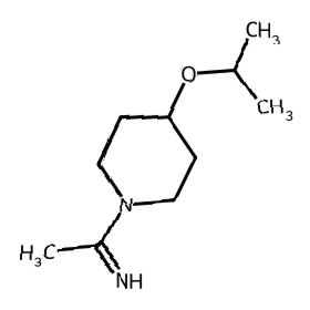 CC(=N)N1CCC(OC(C)C)CC1